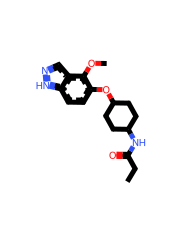 CCC(=O)NC1CCC(Oc2ccc3[nH]ncc3c2OC)CC1